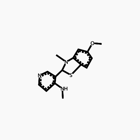 CNc1ccncc1C1Sc2ccc(OC)cc2N1C